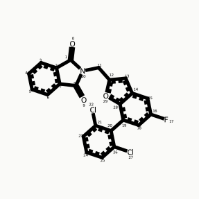 O=C1c2ccccc2C(=O)N1Cc1cc2cc(F)cc(-c3c(Cl)cccc3Cl)c2o1